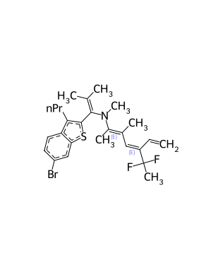 C=C/C(=C\C(C)=C(/C)N(C)C(=C(C)C)c1sc2cc(Br)ccc2c1CCC)C(C)(F)F